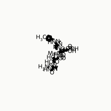 COC1C(OP(=O)(O)OCC2OC(n3cnc4c(=O)[nH]c(N)nc43)C(O)C2O)C(COP(=O)(O)O)OC1n1cnc2c(NCc3ccc(C)cc3)ncnc21